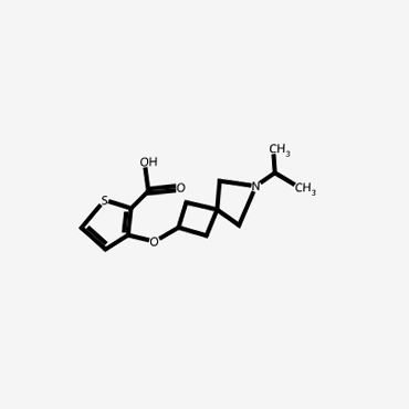 CC(C)N1CC2(CC(Oc3ccsc3C(=O)O)C2)C1